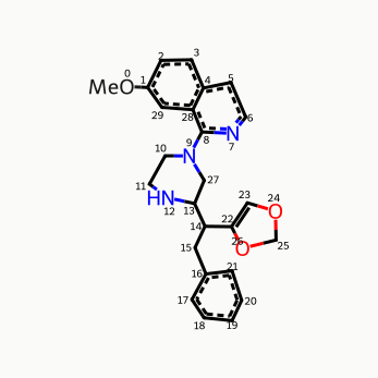 COc1ccc2ccnc(N3CCNC(C(Cc4ccccc4)C4=COCO4)C3)c2c1